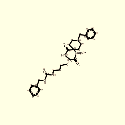 CCCN1C(=O)[C@H](CCCCNC(=O)OCc2ccccc2)NC(=O)C12CCN(Cc1ccccc1)CC2